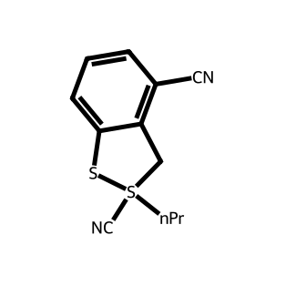 CCCS1(C#N)Cc2c(C#N)cccc2S1